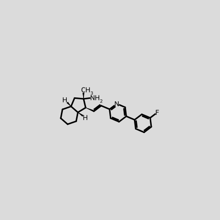 C[C@]1(N)C[C@H]2CCCC[C@H]2[C@@H]1C=Cc1ccc(-c2cccc(F)c2)cn1